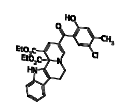 CCOC(=O)C1=CC(C(=O)c2cc(Cl)c(C)cc2O)=CN2CCc3c([nH]c4ccccc34)C12C(=O)OCC